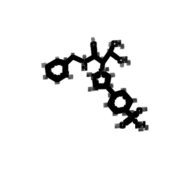 CC(C)C(C(=O)NCc1ccccn1)n1cc(-c2ccc(S(N)(=O)=O)cc2)nn1